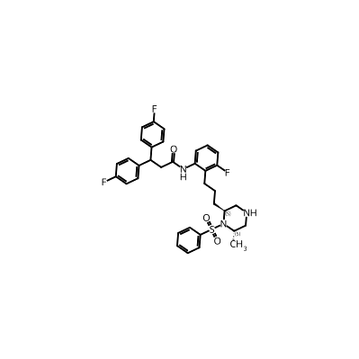 C[C@H]1CNC[C@H](CCCc2c(F)cccc2NC(=O)CC(c2ccc(F)cc2)c2ccc(F)cc2)N1S(=O)(=O)c1ccccc1